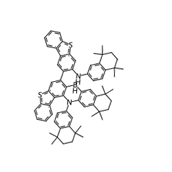 CC1(C)CCC(C)(C)c2cc(Nc3cc4sc5ccccc5c4cc3-c3cc4sc5ccccc5c4c4c3Bc3cc5c(cc3N4c3ccc4c(c3)C(C)(C)CCC4(C)C)C(C)(C)CCC5(C)C)ccc21